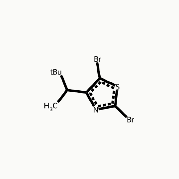 CC(c1nc(Br)sc1Br)C(C)(C)C